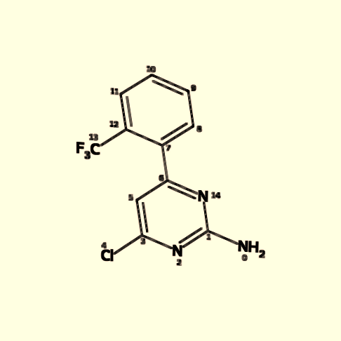 Nc1nc(Cl)cc(-c2ccccc2C(F)(F)F)n1